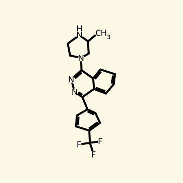 CC1CN(c2nnc(-c3ccc(C(F)(F)F)cc3)c3ccccc23)CCN1